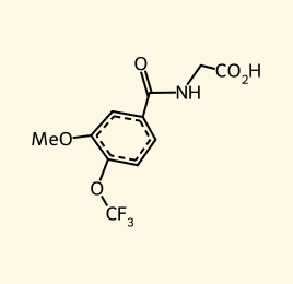 COc1cc(C(=O)NCC(=O)O)ccc1OC(F)(F)F